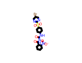 O=C(NC(=O)c1ccccc1[N+](=O)[O-])Nc1ccc(S(=O)(=O)c2ncc(Br)cn2)cc1